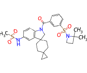 CC1(C)CCN1S(=O)(=O)c1cccc(C(=O)N2CC3(CCC4(CC4)CC3)c3cc(NS(C)(=O)=O)ccc32)c1